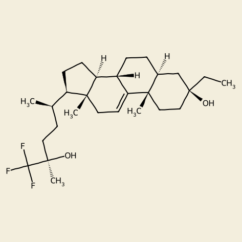 CC[C@]1(O)CC[C@]2(C)C3=CC[C@]4(C)[C@@H]([C@H](C)CC[C@@](C)(O)C(F)(F)F)CC[C@H]4[C@@H]3CC[C@H]2C1